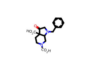 O=C(O)N1CCC2(C(=O)O)C(=O)CN(Cc3ccccc3)C2C1